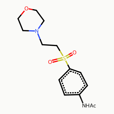 CC(=O)Nc1ccc(S(=O)(=O)CCN2CCOCC2)cc1